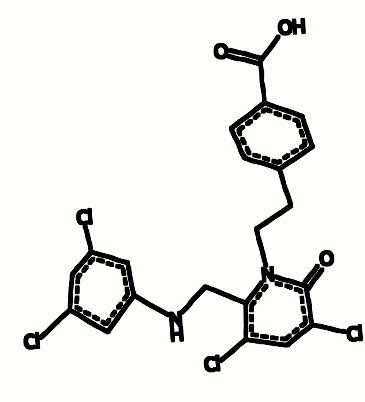 O=C(O)c1ccc(CCn2c(CNc3cc(Cl)cc(Cl)c3)c(Cl)cc(Cl)c2=O)cc1